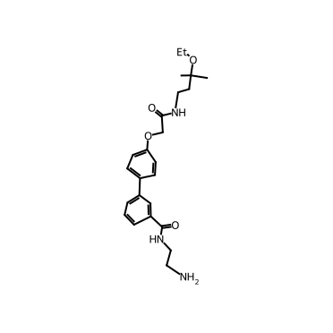 CCOC(C)(C)CCNC(=O)COc1ccc(-c2cccc(C(=O)NCCN)c2)cc1